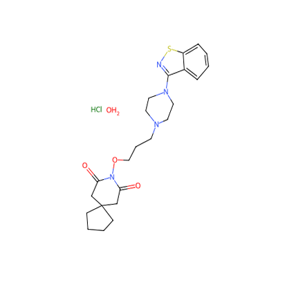 Cl.O.O=C1CC2(CCCC2)CC(=O)N1OCCCN1CCN(c2nsc3ccccc23)CC1